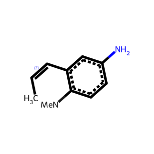 C/C=C\c1cc(N)ccc1NC